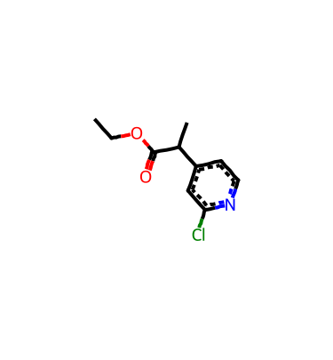 CCOC(=O)C(C)c1ccnc(Cl)c1